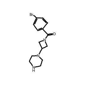 O=C(c1ccc(Br)cc1)N1CC(N2CCNCC2)C1